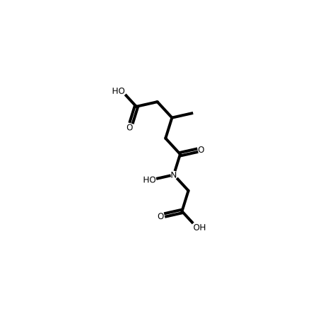 CC(CC(=O)O)CC(=O)N(O)CC(=O)O